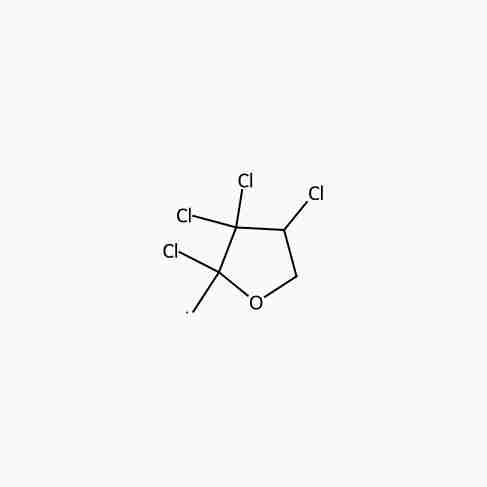 [CH2]C1(Cl)OCC(Cl)C1(Cl)Cl